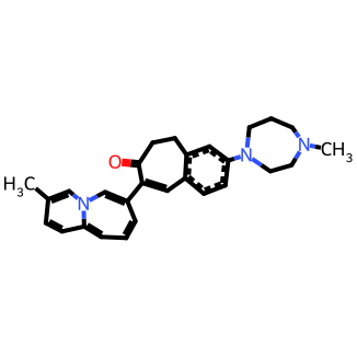 CC1=CN2C=C(C3=Cc4ccc(N5CCCN(C)CC5)cc4CCC3=O)C=CC=C2C=C1